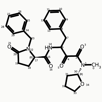 CN(C(=O)C(=O)C(Cc1ccccc1)NC(=O)[C@H]1CCC(=O)N1Cc1ccccc1)[C@H]1CCCO1